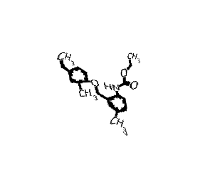 CCOC(=O)Nc1ccc(C)cc1COc1ccc(CC)cc1C